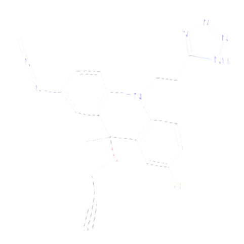 C#CCOC1(C)c2cc(Cl)ccc2N(CCc2nnn[nH]2)c2ccc(N=[N+]=C)cc21